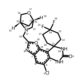 O=C1Nc2c(Cl)cc3nc(CN4C[C@@H]5C[C@H]4CO5)oc3c2C2(CCC(F)(F)CC2)N1